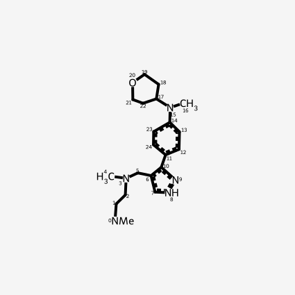 CNCCN(C)Cc1c[nH]nc1-c1ccc(N(C)C2CCOCC2)cc1